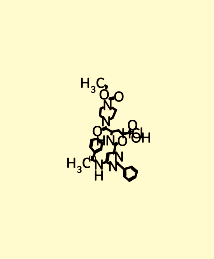 CCOC(=O)N1CCN(C(=O)C(CCC(=O)O)NC(=O)c2cc(N[C@@H](C)c3ccccc3)nc(-c3ccccc3)n2)CC1.Cl